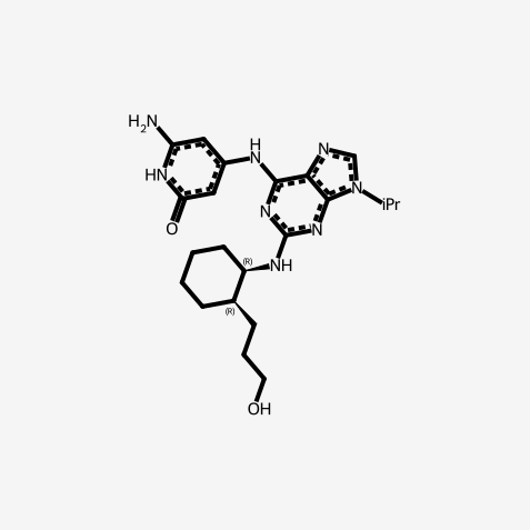 CC(C)n1cnc2c(Nc3cc(N)[nH]c(=O)c3)nc(N[C@@H]3CCCC[C@@H]3CCCO)nc21